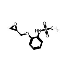 CS(=O)(=O)Nc1ccccc1OC[C@H]1CO1